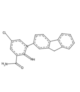 N=c1c(C(N)=O)cc(Cl)cn1-c1ccc2c(c1)Cc1ccccc1-2